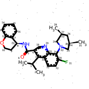 CC(C)c1c(C(=O)N[C@H]2CCOc3ccccc32)cnc2c(N3C[C@H](C)C[C@H](C)C3)c(F)ccc12